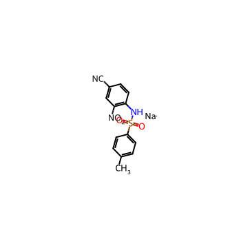 Cc1ccc(S(=O)(=O)Nc2ccc(C#N)cc2[N+](=O)[O-])cc1.[Na]